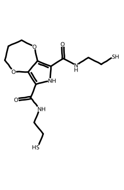 O=C(NCCS)c1[nH]c(C(=O)NCCS)c2c1OCCCO2